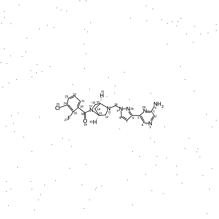 Nc1cncc(-c2ccn(CN3C[C@@H]4C[C@H]3CN4C(=O)c3cccc(Cl)c3F)n2)n1